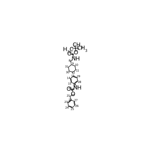 CC(C)(C)OC(=O)NC[C@H]1CC[C@H](c2ccc(NC(=O)OCc3ccccc3)cc2)CC1